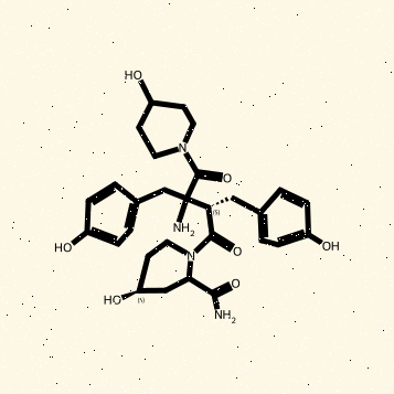 NC(=O)C1C[C@@H](O)CCN1C(=O)[C@@H](Cc1ccc(O)cc1)C(N)(Cc1ccc(O)cc1)C(=O)N1CCC(O)CC1